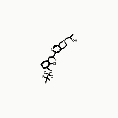 CC(O)CN1CCc2cc(/C(F)=C/c3cccc(OS(=O)(=O)C(F)(F)F)c3Cl)ncc2C1